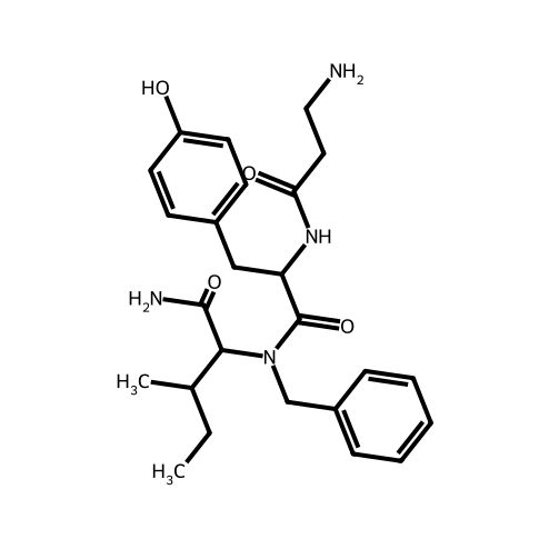 CCC(C)C(C(N)=O)N(Cc1ccccc1)C(=O)C(Cc1ccc(O)cc1)NC(=O)CCN